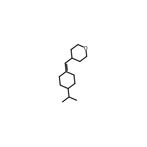 CC(C)C1CCC(=CC2CCOCC2)CC1